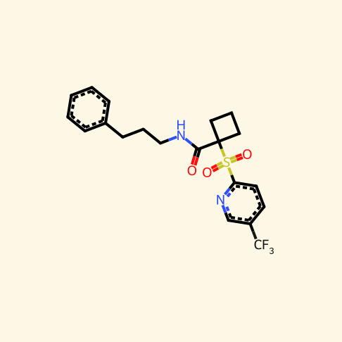 O=C(NCCCc1ccccc1)C1(S(=O)(=O)c2ccc(C(F)(F)F)cn2)CCC1